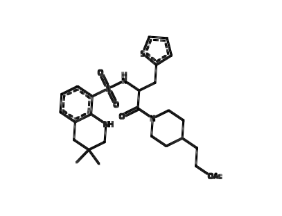 CC(=O)OCCC1CCN(C(=O)C(Cc2cccs2)NS(=O)(=O)c2cccc3c2NCC(C)(C)C3)CC1